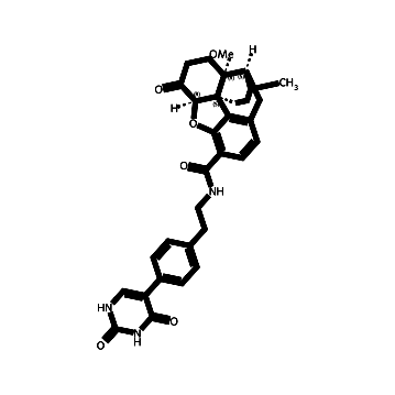 CO[C@@]12CCC(=O)[C@@H]3Oc4c(C(=O)NCCc5ccc(-c6c[nH]c(=O)[nH]c6=O)cc5)ccc5c4[C@@]31CCC(C)[C@@H]2C5